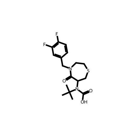 CC(C)(C)N(C(=O)O)C1CSCCN(Cc2ccc(F)c(F)c2)C1=O